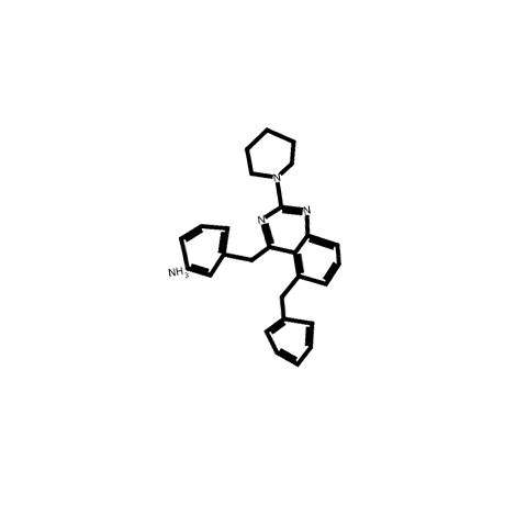 N.c1ccc(Cc2cccc3nc(N4CCCCC4)nc(Cc4ccccc4)c23)cc1